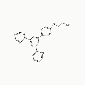 OCCOc1ccc(-c2cc(-c3ccccn3)nc(-c3ccccn3)c2)cc1